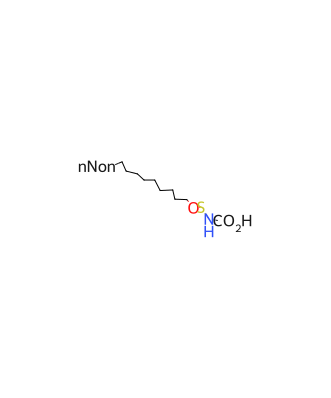 CCCCCCCCCCCCCCCCCCOSNC(=O)O